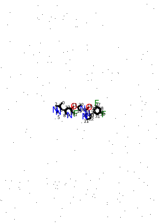 Cc1cnn(C)c1-c1cnc(F)c(OC2CN(C(=O)N3N=CC[C@H]3c3cc(F)cc(F)c3)C2)c1